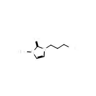 C=C1N(C)C=CN1CCCC